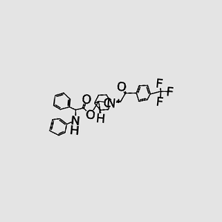 O=C(C[N+]12CCC(CC1)[C@@H](OC(=O)C(Nc1ccccc1)c1ccccc1)C2)c1ccc(C(F)(F)F)cc1